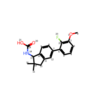 COc1cccc(-c2ccc3c(c2)CC(C)(C)C3NC(=O)O)c1F